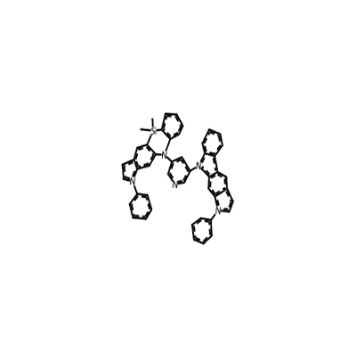 C[Si]1(C)c2ccccc2N(c2cncc(-n3c4ccccc4c4cc5ccn(-c6ccccc6)c5cc43)c2)c2cc3c(ccn3-c3ccccc3)cc21